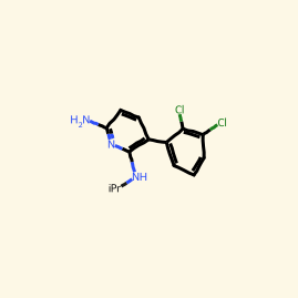 CC(C)Nc1nc(N)ccc1-c1cccc(Cl)c1Cl